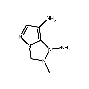 CN1Cn2ncc(N)c2N1N